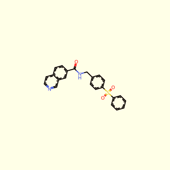 O=C(NCc1ccc(S(=O)(=O)c2ccccc2)cc1)c1ccc2ccncc2c1